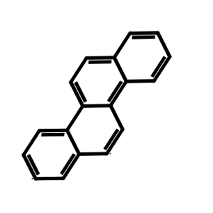 [c]1ccc2c([c]cc3c4ccccc4ccc23)c1